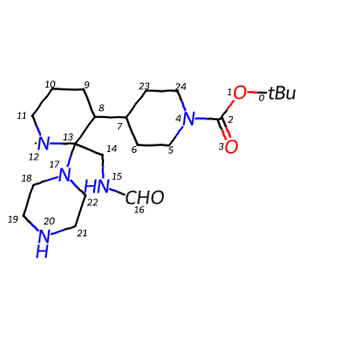 CC(C)(C)OC(=O)N1CCC(C2CCC[N]C2(CNC=O)N2CCNCC2)CC1